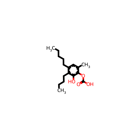 CCCCCc1cc(C)c(OC(=O)O)c(O)c1CCCC